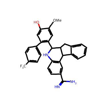 COc1cc(C2Nc3ccc(C(=N)N)cc3C3c4ccccc4CC23)c(-c2ccc(C(F)(F)F)cc2)cc1O